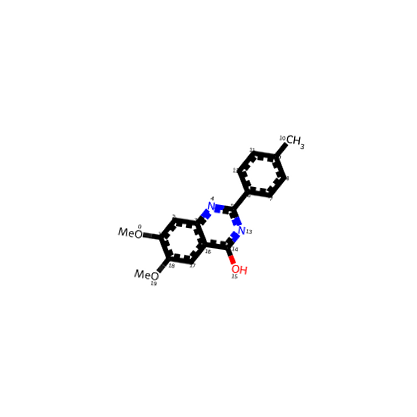 COc1cc2nc(-c3ccc(C)cc3)nc(O)c2cc1OC